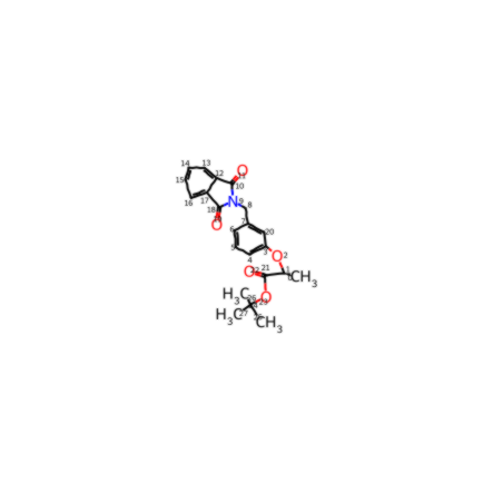 C[C@H](Oc1cccc(CN2C(=O)c3ccccc3C2=O)c1)C(=O)OC(C)(C)C